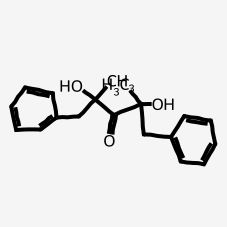 CC(O)(Cc1ccccc1)C(=O)C(C)(O)Cc1ccccc1